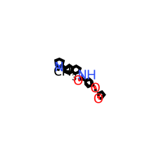 CN1CCCCC1c1ccc2c(c1)CC[C@H](NC(=O)c1ccc(OC[C@@H]3CCCO3)cc1)C2